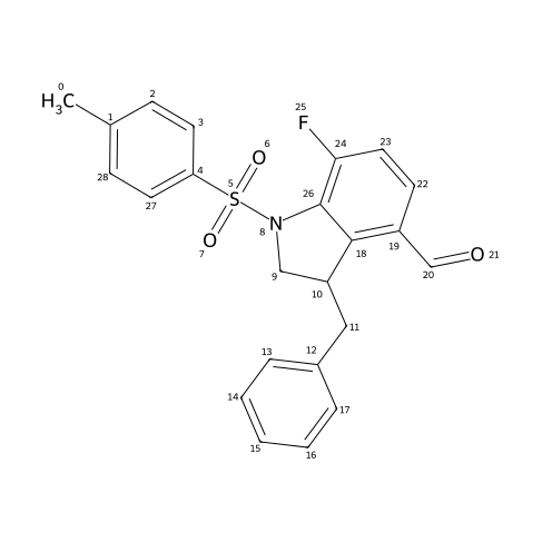 Cc1ccc(S(=O)(=O)N2CC(Cc3ccccc3)c3c(C=O)ccc(F)c32)cc1